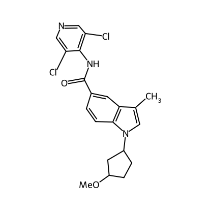 COC1CCC(n2cc(C)c3cc(C(=O)Nc4c(Cl)cncc4Cl)ccc32)C1